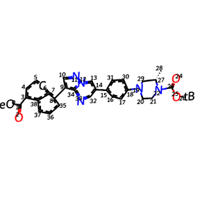 COC(=O)c1cccc2c(-c3cnn4cc(-c5ccc(N6CCN(C(=O)OC(C)(C)C)[C@@H](C)C6)cc5)cnc34)cccc12